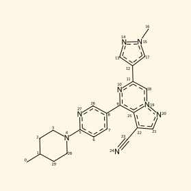 CC1CCN(c2ccc(-c3nc(-c4cnn(C)c4)cn4ncc(C#N)c34)cn2)CC1